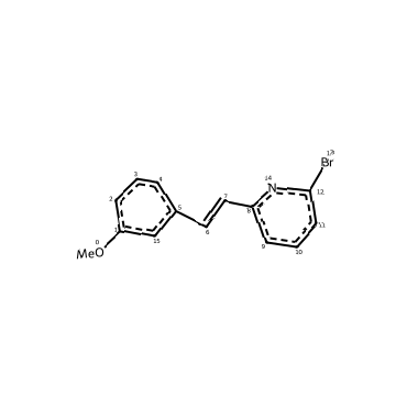 COc1cccc(/C=C/c2cccc(Br)n2)c1